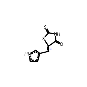 O=C1NC(=S)S/C1=C\c1cc[nH]c1